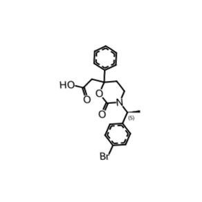 C[C@@H](c1ccc(Br)cc1)N1CCC(CC(=O)O)(c2ccccc2)OC1=O